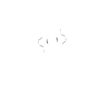 Cc1cc(S)cc(Sc2ccccc2C)c1